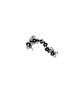 CC(C)Oc1cc2nc(N3CCN(CC4CCN(c5ccc6c(c5)C(=O)N(C5CCC(=O)NC5=O)C6)CC4)CC3)sc2cc1C(=O)Nc1cccn(C)c1=O